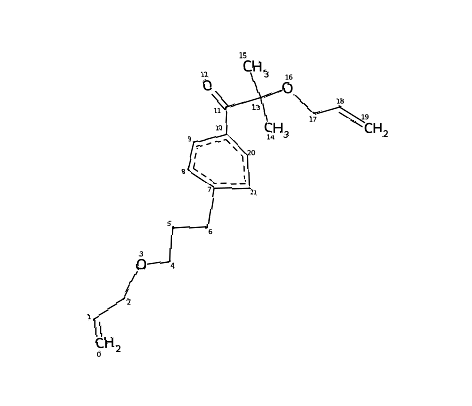 C=CCOCCCc1ccc(C(=O)C(C)(C)OCC=C)cc1